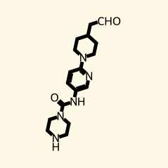 O=CCC1CCN(c2ccc(NC(=O)N3CCNCC3)cn2)CC1